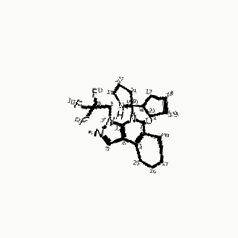 O=c1c2c(c3cnn(CC(F)(F)F)c3n1[C@@]1(C3CCCC3)CCCN1)CCCC2